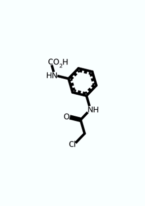 O=C(O)Nc1cccc(NC(=O)CCl)c1